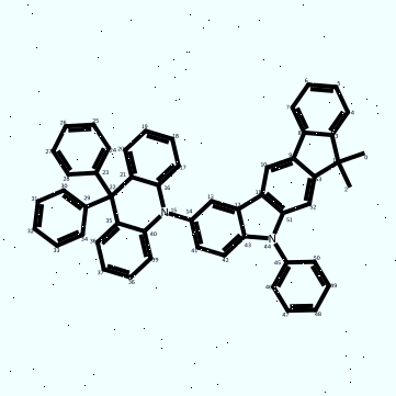 CC1(C)c2ccccc2-c2cc3c4cc(N5c6ccccc6C(c6ccccc6)(c6ccccc6)c6ccccc65)ccc4n(-c4ccccc4)c3cc21